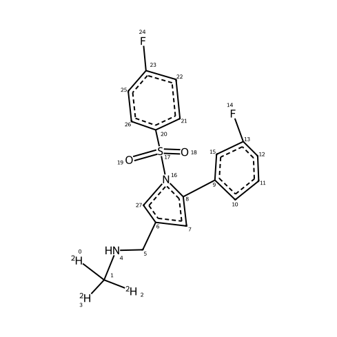 [2H]C([2H])([2H])NCc1cc(-c2cccc(F)c2)n(S(=O)(=O)c2ccc(F)cc2)c1